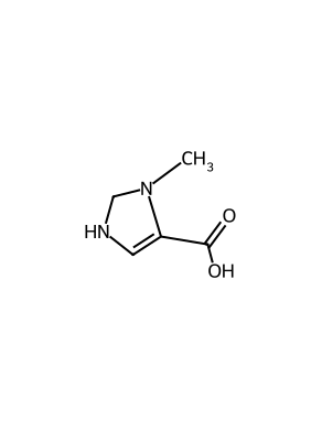 CN1CNC=C1C(=O)O